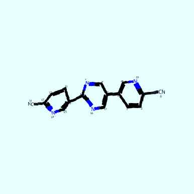 N#Cc1ccc(-c2cnc(-c3ccc(C#N)nc3)nc2)cn1